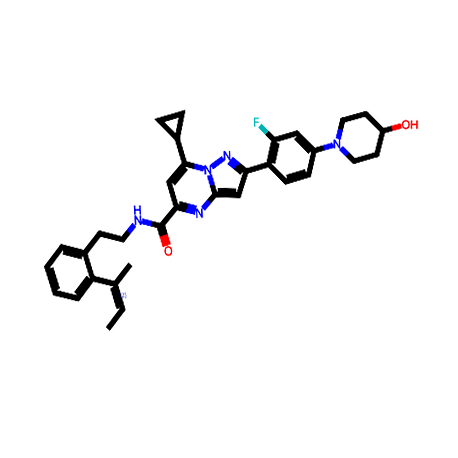 C/C=C(/C)c1ccccc1CCNC(=O)c1cc(C2CC2)n2nc(-c3ccc(N4CCC(O)CC4)cc3F)cc2n1